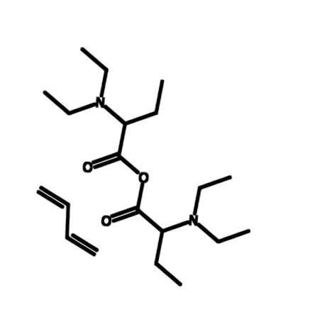 C=CC=C.CCC(C(=O)OC(=O)C(CC)N(CC)CC)N(CC)CC